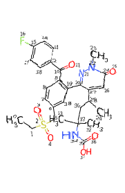 CCS(=O)(=O)Cc1ccc(C(=O)c2ccc(F)cc2)c(-c2nn(C)c(=O)cc2C(C)CC(C)(C)NC(=O)O)c1